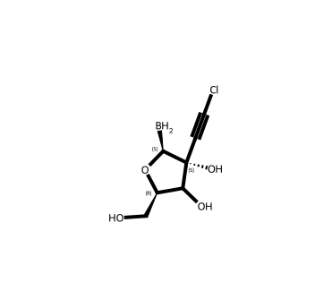 B[C@@H]1O[C@H](CO)C(O)[C@]1(O)C#CCl